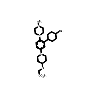 CCCCN1CCN(c2ccc(N3CCC(OCC(=O)OCC)CC3)cc2C2CCC(C(C)(C)C)CC2)CC1